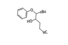 [C-]#[N+]CCC(O)C(CCCC)Oc1ccccc1